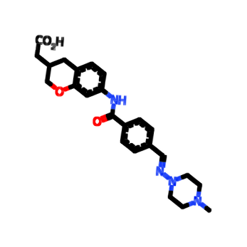 CN1CCN(N=Cc2ccc(C(=O)Nc3ccc4c(c3)OCC(CC(=O)O)C4)cc2)CC1